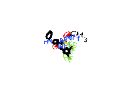 CC(=O)Nc1nc(C2(C(=O)NCc3cc(C(F)(F)F)cc(C(F)(F)F)c3)CCC(NC3CCCCC3)C2)cs1